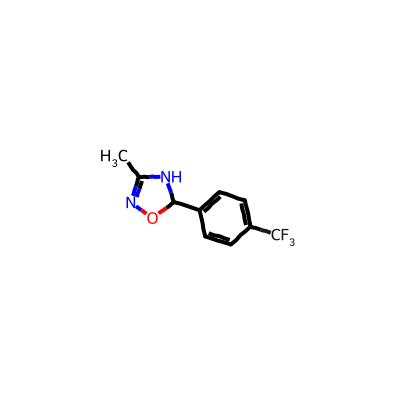 CC1=NOC(c2ccc(C(F)(F)F)cc2)N1